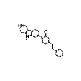 Cn1c2c(c3ccc(-n4ccc(CCc5ccccc5)cc4=O)cc31)CNCC2